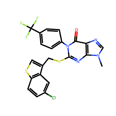 Cn1cnc2c(=O)n(-c3ccc(C(F)(F)F)cc3)c(SCc3csc4ccc(Cl)cc34)nc21